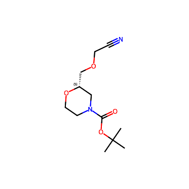 CC(C)(C)OC(=O)N1CCO[C@H](COCC#N)C1